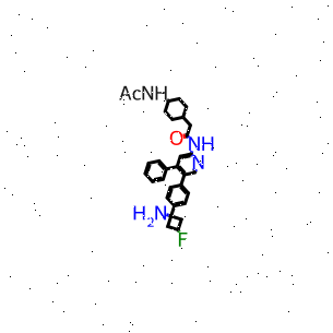 CC(=O)NC1CCC(CC(=O)Nc2cc(-c3ccccc3)c(-c3ccc(C4(N)CC(F)C4)cc3)cn2)CC1